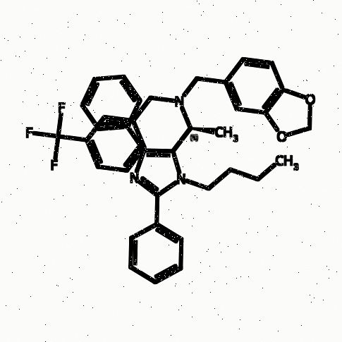 CCCCn1c(-c2ccccc2)nc(-c2ccccc2)c1[C@H](C)N(Cc1cccc(C(F)(F)F)c1)Cc1ccc2c(c1)OCO2